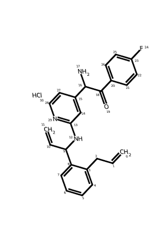 C=CCc1ccccc1C(C=C)Nc1cc(C(N)C(=O)c2ccc(F)cc2)ccn1.Cl